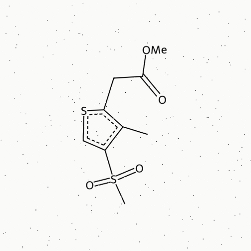 COC(=O)Cc1scc(S(C)(=O)=O)c1C